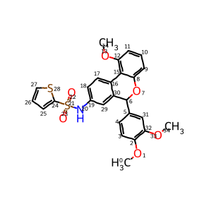 COc1ccc(C2Oc3cccc(OC)c3-c3ccc(NS(=O)(=O)c4cccs4)cc32)cc1OC